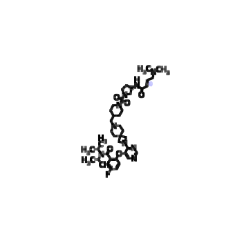 CC(C)N(C(=O)c1cc(F)ccc1Oc1cncnc1N1CC2(CCN(CC3CCN(S(=O)(=O)N4CC[C@@H](NC(=O)/C=C/CN(C)C)C4)CC3)CC2)C1)C(C)C